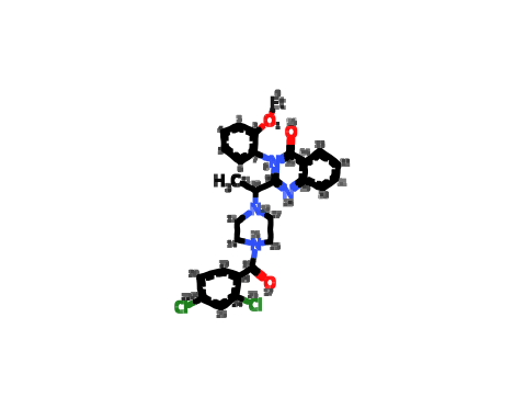 CCOc1ccccc1-n1c(C(C)N2CCN(C(=O)c3ccc(Cl)cc3Cl)CC2)nc2ccccc2c1=O